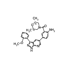 COc1ccccc1-c1n[nH]c2ncc(-c3ccc(N)c(C(=O)N4C[C@@H](C)O[C@@H](C)C4)c3)cc12